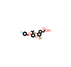 CC(C)c1cc(Oc2c(Br)cc3c(c2Br)CCC3CC(=O)O)ccc1OCc1ccc(F)cc1